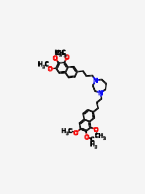 COc1cc2ccc(CCCN3CCCN(CCCc4ccc5cc(OC)c(OC)c(OC)c5c4)CC3)cc2c(OC)c1OC